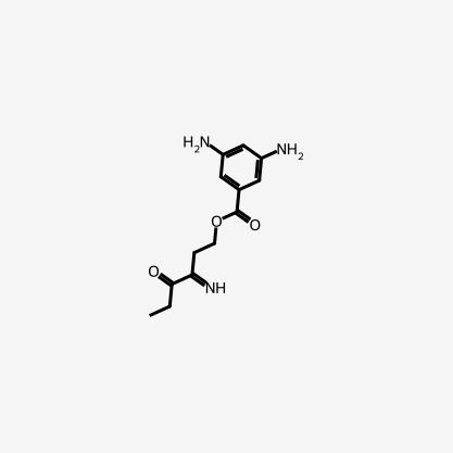 CCC(=O)C(=N)CCOC(=O)c1cc(N)cc(N)c1